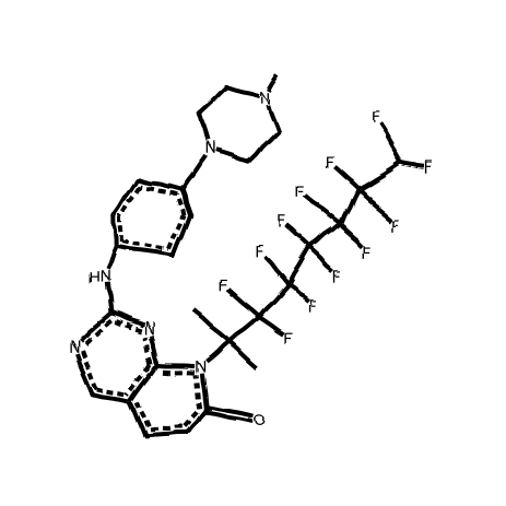 CN1CCN(c2ccc(Nc3ncc4ccc(=O)n(C(C)(C)C(F)(F)C(F)(F)C(F)(F)C(F)(F)C(F)(F)C(F)F)c4n3)cc2)CC1